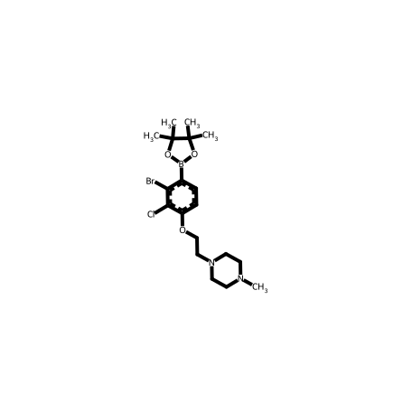 CN1CCN(CCOc2ccc(B3OC(C)(C)C(C)(C)O3)c(Br)c2Cl)CC1